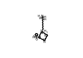 C1=Cc2cc3ccc(cc4nc(cc5ccc(cc1n2)[nH]5)C=C4)[nH]3.CCCCCCCCCCNNNN.O=c1[nH]c2ccccc2[nH]1.[Cu]